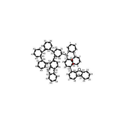 c1ccc(-c2ccccc2N(c2ccc(-c3cccc4c3oc3ccccc34)cc2)c2ccc3c4ccccc4c4ccccc4c4ccccc4c4c(ccc5c6ccccc6sc54)c3c2)cc1